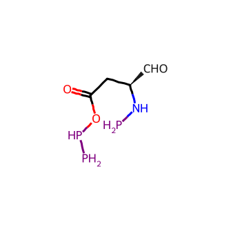 O=C[C@H](CC(=O)OPP)NP